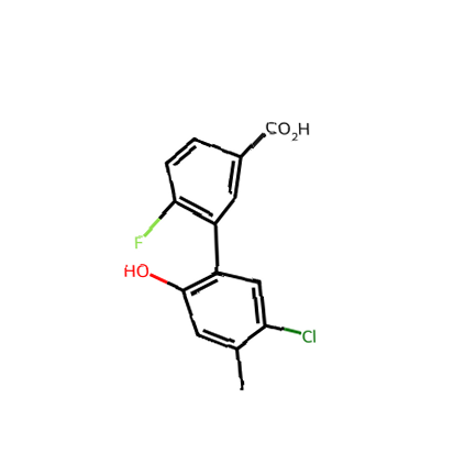 Cc1cc(O)c(-c2cc(C(=O)O)ccc2F)cc1Cl